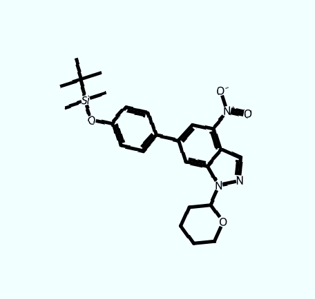 CC(C)(C)[Si](C)(C)Oc1ccc(-c2cc([N+](=O)[O-])c3cnn(C4CCCCO4)c3c2)cc1